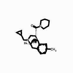 Cc1ccc2c(c1)[C@]13CCN(CC4CC4)[C@H](C2)[C@]1(O)C[C@@H](C(=O)N1CCCCC1)C3